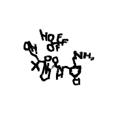 CC(C)(C)[C@@H](CCO)C(=O)N1CCC[C@H]1C(=O)NCc1cc(Cl)ccc1CN.O=C(O)C(F)(F)F